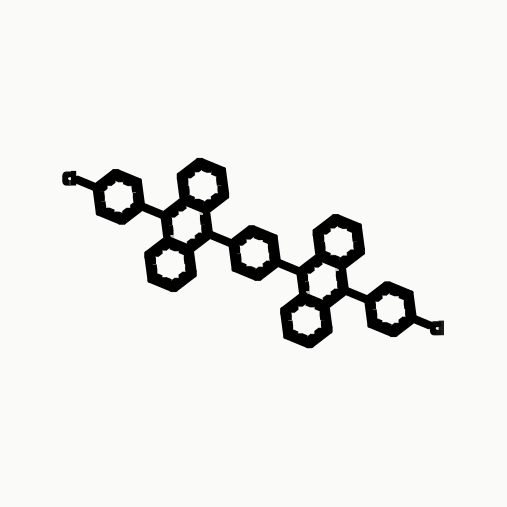 Clc1ccc(-c2c3ccccc3c(-c3ccc(-c4c5ccccc5c(-c5ccc(Cl)cc5)c5ccccc45)cc3)c3ccccc23)cc1